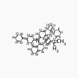 CC1(C)c2ccccc2C2(c3ccccc3-c3ccc(N(c4ccc(-c5ccccc5)cc4)c4cccc5ccccc45)cc32)c2ccccc21